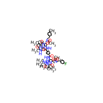 CN[C@@H](C)C(=O)N[C@H](C(=O)N1C[C@@H](NC(=O)c2ccc(C(=O)N[C@H]3C[C@@H](CN(CCc4ccc(F)cc4)S(C)(=O)=O)N(C(=O)[C@@H](NC(=O)[C@H](C)NC)C(C)(C)C)C3)cc2)C[C@H]1CN(CCc1ccc(C)cc1)S(C)(=O)=O)C(C)(C)C